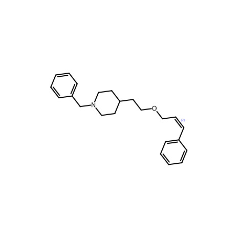 C(=C/c1ccccc1)/COCCC1CCN(Cc2ccccc2)CC1